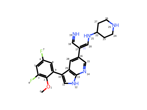 COc1c(F)cc(F)cc1-c1c[nH]c2ncc(/C(C=N)=C/NC3CCNCC3)cc12